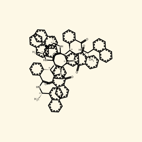 C[C@H](NC(=O)c1ccccc1[C@H]1n2c(=O)c3ccccc3c(=O)n2[C@H](c2ccccc2C(=O)N[C@@H](C)c2cccc3ccccc23)P1c1ccccc1P1[C@@H](c2ccccc2C(=O)N[C@@H](C)c2cccc3ccccc23)n2c(=O)c3ccccc3c(=O)n2[C@@H]1c1ccccc1C(=O)N[C@@H](C)c1cccc2ccccc12)c1cccc2ccccc12